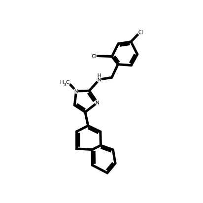 Cn1cc(-c2ccc3ccccc3c2)nc1NCc1ccc(Cl)cc1Cl